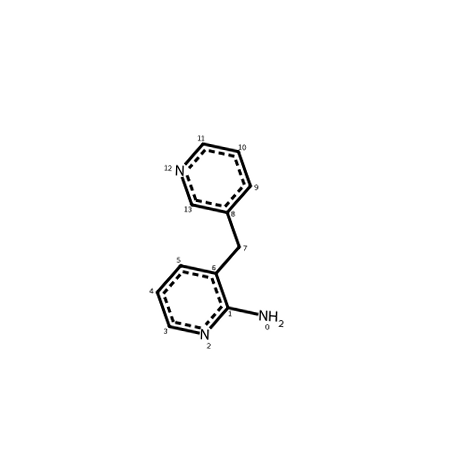 Nc1ncccc1Cc1cccnc1